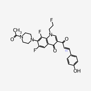 CC(=O)N1CCN(c2c(F)cc3c(=O)c(C(=O)/C=C/c4ccc(O)cc4)cn(CCF)c3c2F)CC1